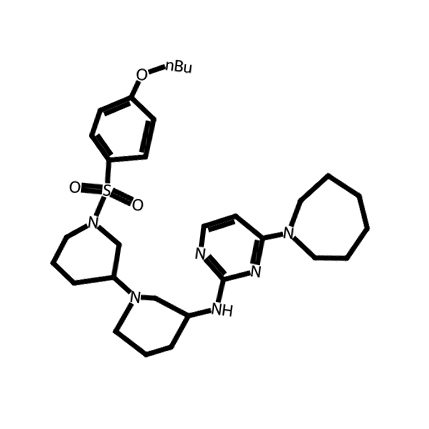 CCCCOc1ccc(S(=O)(=O)N2CCCC(N3CCCC(Nc4nccc(N5CCCCCC5)n4)C3)C2)cc1